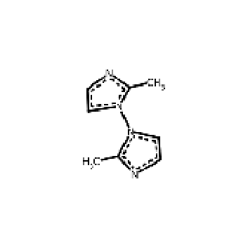 Cc1nccn1-n1ccnc1C